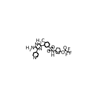 Cc1ccc(S(=O)(=O)NC23CCC(OC(=O)C(F)(F)F)(CC2)C3)cc1-c1cnc(N)c(-c2ccncc2)n1